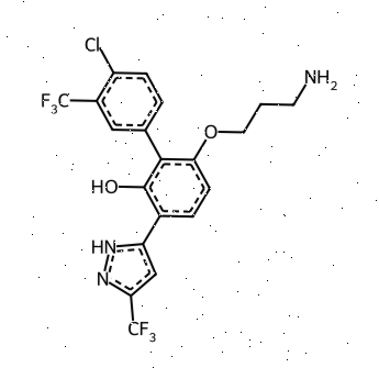 NCCCOc1ccc(-c2cc(C(F)(F)F)n[nH]2)c(O)c1-c1ccc(Cl)c(C(F)(F)F)c1